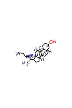 CC(C)CCNC(C)C1CC[C@H]2[C@@H]3CC[C@H]4C[C@@H](O)CC[C@]4(C)[C@H]3CC[C@]12C